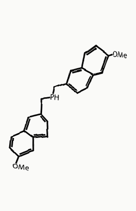 COc1ccc2cc(CPCc3ccc4cc(OC)ccc4c3)ccc2c1